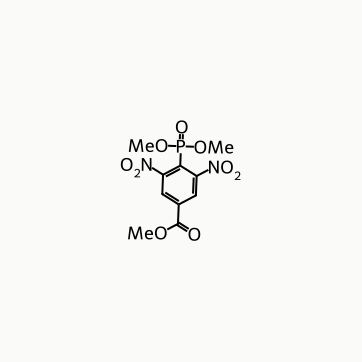 COC(=O)c1cc([N+](=O)[O-])c(P(=O)(OC)OC)c([N+](=O)[O-])c1